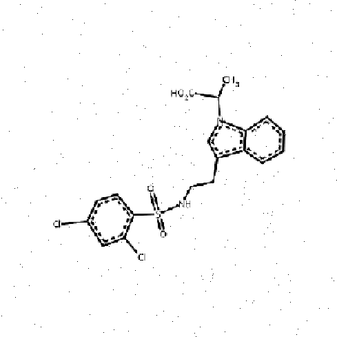 CC(C(=O)O)n1cc(CCNS(=O)(=O)c2ccc(Cl)cc2Cl)c2ccccc21